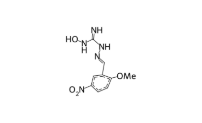 COc1ccc([N+](=O)[O-])cc1C=NNC(=N)NO